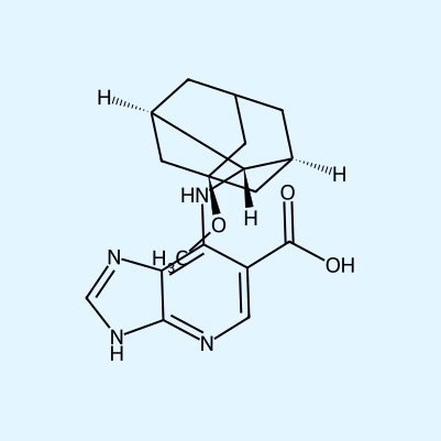 CO[C@]12CC3C[C@H](C1)[C@@H](Nc1c(C(=O)O)cnc4[nH]cnc14)[C@@H](C3)C2